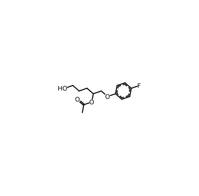 CC(=O)OC(CCCO)COc1ccc(F)cc1